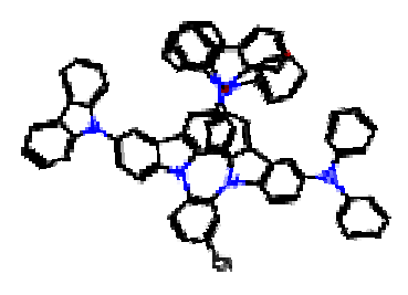 N#Cc1ccc(-n2c3ccc(N(c4ccccc4)c4ccccc4)cc3c3cc(-n4c5ccccc5c5ccccc54)ccc32)c(-n2c3ccc(N(c4ccccc4)c4ccccc4)cc3c3cc(-n4c5ccccc5c5ccccc54)ccc32)c1